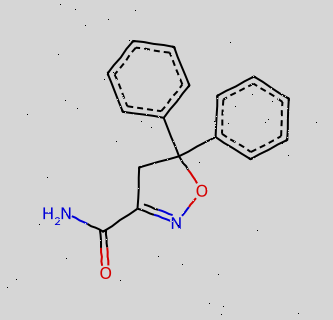 NC(=O)C1=NOC(c2ccccc2)(c2ccccc2)C1